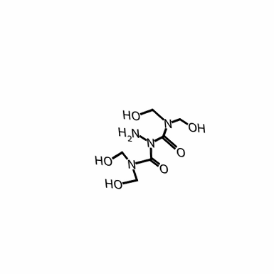 NN(C(=O)N(CO)CO)C(=O)N(CO)CO